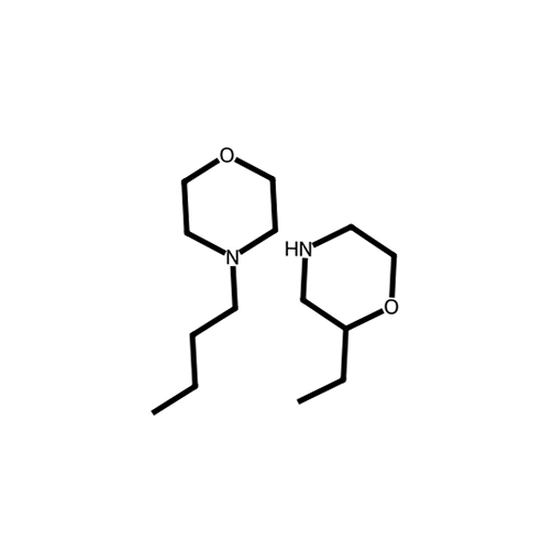 CCC1CNCCO1.CCCCN1CCOCC1